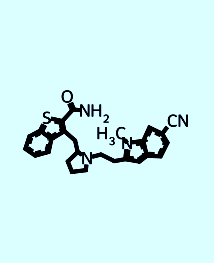 Cn1c(CCN2CCCC2Cc2c(C(N)=O)sc3ccccc23)cc2ccc(C#N)cc21